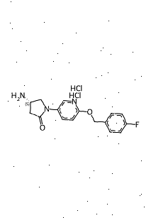 Cl.Cl.N[C@H]1CC(=O)N(c2ccc(OCc3ccc(F)cc3)nc2)C1